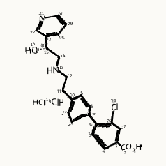 Cl.Cl.O=C(O)c1ccc(-c2ccc(CCNC[C@H](O)c3cccnc3)cc2)c(Cl)c1